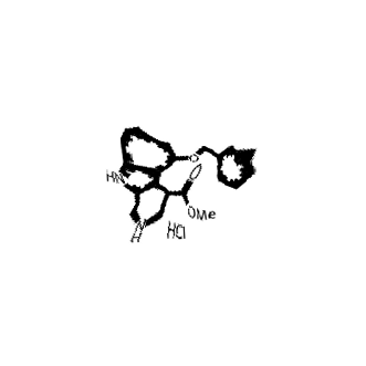 COC(=O)C1CNCc2[nH]c3cccc(OCc4ccccc4)c3c21.Cl